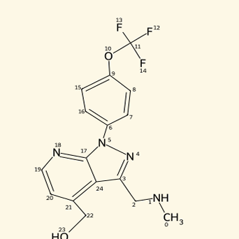 CNCc1nn(-c2ccc(OC(F)(F)F)cc2)c2nccc(CO)c12